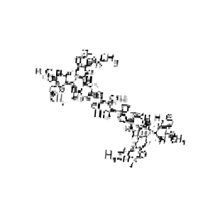 CCOc1cc2c(cc1OC)C(c1cnc(OC)c(OC)c1)=N[C@H]1CC[C@H](OC(=O)C(O)C(O)C(=O)O[C@H]3CC[C@@H]4N=C(c5cnc(OC)c(OC)c5)c5cc(OC)c(OCC)cc5[C@@H]4C3)C[C@@H]21